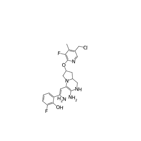 Cc1c(CCl)cnc(OC2CC3CNC(N)=C(/C=C(\N)c4cccc(F)c4O)N3C2)c1F